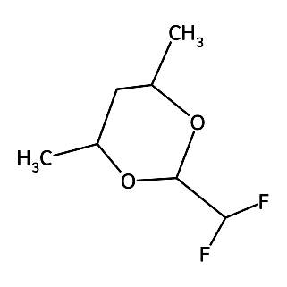 CC1CC(C)OC(C(F)F)O1